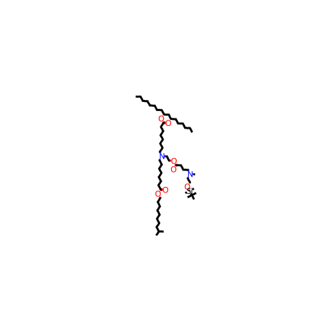 CCCCCCCCC(CCCCCCCC)OC(=O)CCCCCCCN(CCCCCCCC(=O)OCCCCCCCCC(C)C)CCOC(=O)CCCN(C)CCO[Si](C)(C)C(C)(C)C